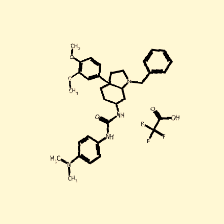 COc1ccc(C23CCC(NC(=O)Nc4ccc(N(C)C)cc4)CC2N(Cc2ccccc2)CC3)cc1OC.O=C(O)C(F)(F)F